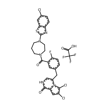 O=C(O)C(F)(F)F.O=C(c1cc(Cc2c[nH]c(=O)c3cc(Cl)c(Cl)n23)ccc1F)N1CCCN(c2nc3ccc(Cl)cc3s2)CC1